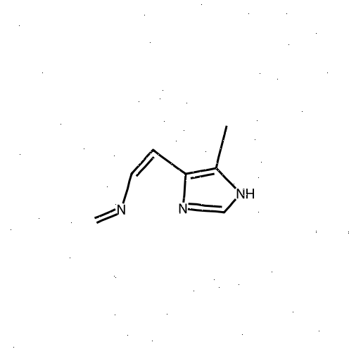 C=N/C=C\c1nc[nH]c1C